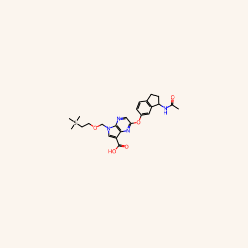 CC(=O)NC1CCc2ccc(Oc3cnc4c(n3)c(C(=O)O)cn4COCC[Si](C)(C)C)cc21